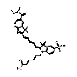 C=C1N=C(/C=C/C=C/C=C2/N(CCCCCC(=O)O)c3ccc(S(=O)(=O)O)cc3C2(C)C)C(C)(C)/C1=C/C(=C\C)C(=O)N(C)OC